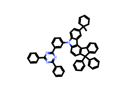 CC1(c2ccc3c(c2)c2c4c(ccc2n3-c2cccc(-c3nc(-c5ccccc5)nc(-c5ccccc5)n3)c2)C(c2ccccc2)(c2ccccc2)c2ccccc2-4)C=CC=CC1